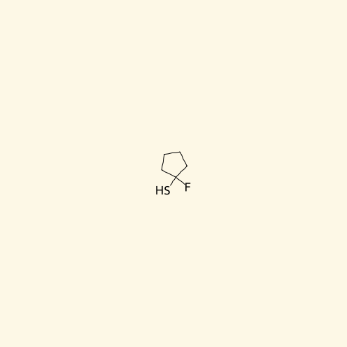 FC1(S)CCCC1